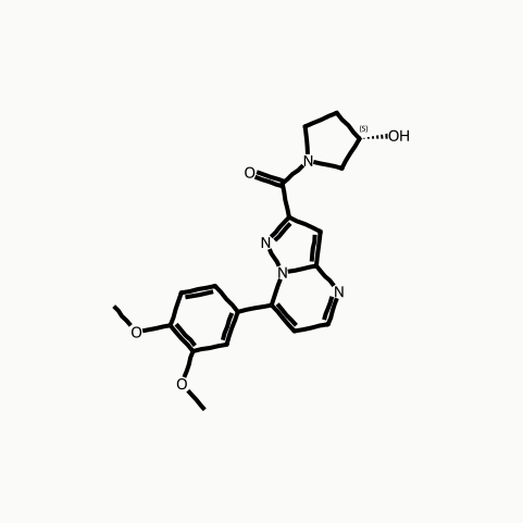 COc1ccc(-c2ccnc3cc(C(=O)N4CC[C@H](O)C4)nn23)cc1OC